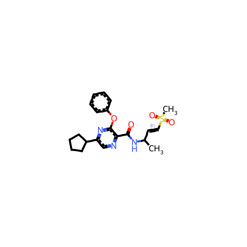 CC(/C=C/S(C)(=O)=O)NC(=O)c1ncc(C2CCCC2)nc1Oc1ccccc1